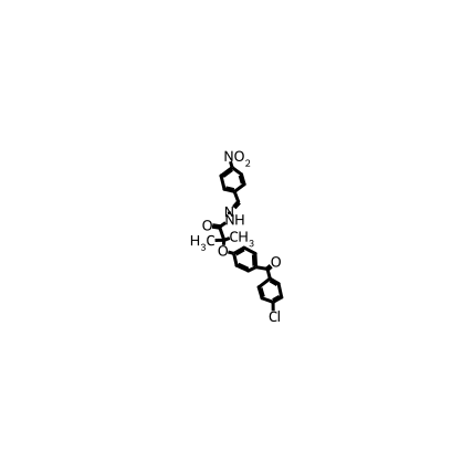 CC(C)(Oc1ccc(C(=O)c2ccc(Cl)cc2)cc1)C(=O)N/N=C/c1ccc([N+](=O)[O-])cc1